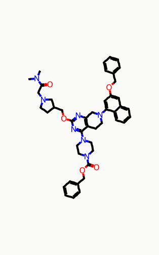 CN(C)C(=O)CN1CCC(COc2nc3c(c(N4CCN(C(=O)OCc5ccccc5)CC4)n2)CCN(c2cc(OCc4ccccc4)cc4ccccc24)C3)C1